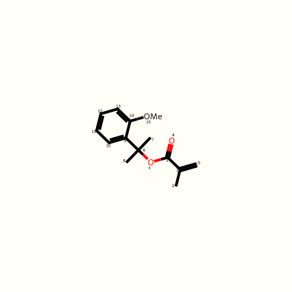 C=C(C)C(=O)OC(C)(C)c1ccccc1OC